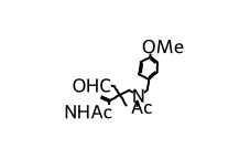 C=C(NC(C)=O)C(C)(CC=O)CN(Cc1ccc(OC)cc1)C(C)=O